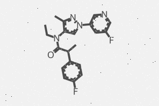 CCN(C(=O)C(C)c1ccc(F)cc1)c1cn(-c2cncc(F)c2)nc1C